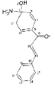 NC1(O)C=CC(C(=O)C=Cc2ccccc2)=CC1